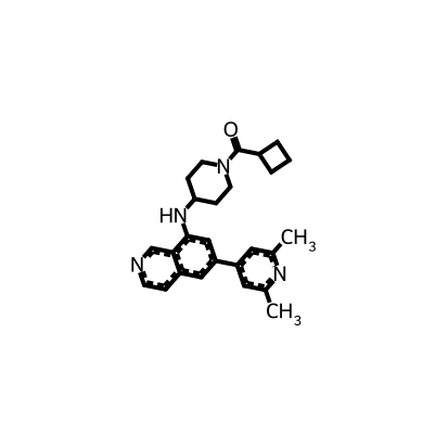 Cc1cc(-c2cc(NC3CCN(C(=O)C4CCC4)CC3)c3cnccc3c2)cc(C)n1